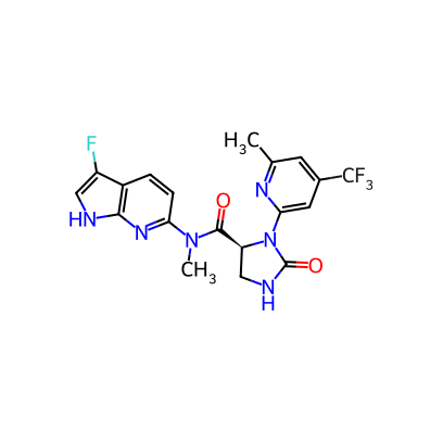 Cc1cc(C(F)(F)F)cc(N2C(=O)NC[C@H]2C(=O)N(C)c2ccc3c(F)c[nH]c3n2)n1